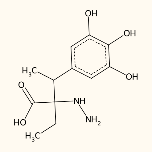 CCC(NN)(C(=O)O)C(C)c1cc(O)c(O)c(O)c1